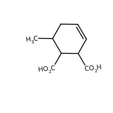 CC1CC=CC(C(=O)O)C1C(=O)O